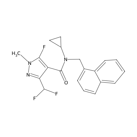 Cn1nc(C(F)F)c(C(=O)N(Cc2cccc3ccccc23)C2CC2)c1F